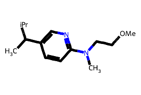 COCCN(C)c1ccc(C(C)C(C)C)cn1